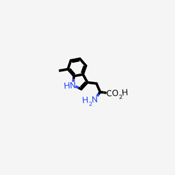 Cc1cccc2c(CC(N)C(=O)O)c[nH]c12